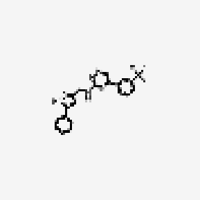 FC(F)(F)c1cccc(-c2cnnc(NCc3cc(-c4ccccc4)[nH]n3)n2)c1